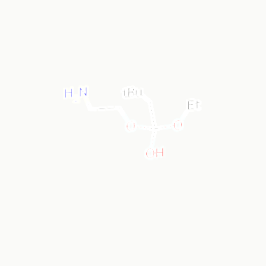 CCOC(O)(CC(C)(C)C)OCCN